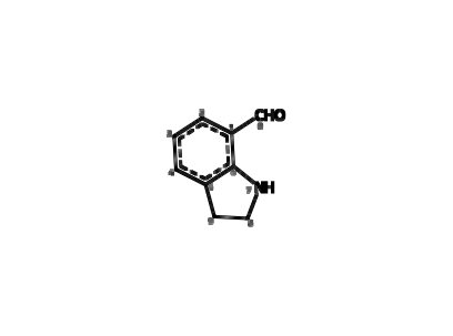 O=Cc1cccc2c1NCC2